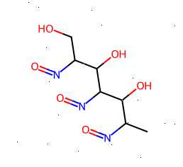 CC(N=O)C(O)C(N=O)C(O)C(CO)N=O